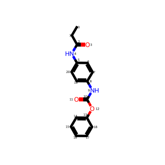 CCC(=O)Nc1ccc(NC(=O)Oc2ccccc2)cc1